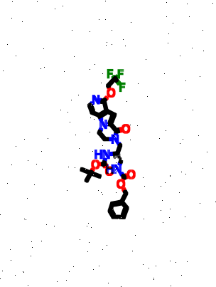 CC(C)(C)OC(=O)N[C@@H](CNC(=O)OCc1ccccc1)CN1CCn2c(cc3c(OCC(F)(F)F)nccc32)C1=O